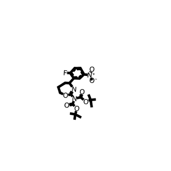 CC(C)(C)OC(=O)N(C(=O)OC(C)(C)C)C1=NC(c2cc([N+](=O)[O-])ccc2F)CCCO1